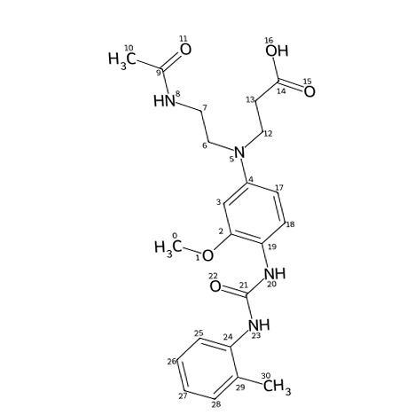 COc1cc(N(CCNC(C)=O)CCC(=O)O)ccc1NC(=O)Nc1ccccc1C